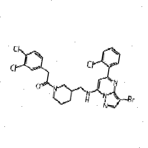 O=C(Cc1ccc(Cl)c(Cl)c1)N1CCCC(CNc2cc(-c3ccccc3Cl)nc3c(Br)cnn23)C1